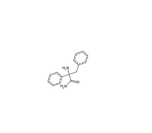 NC(=O)C(N)(Cc1ccccc1)c1ccccc1